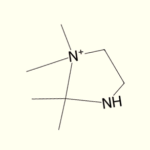 CC1(C)NCC[N+]1(C)C